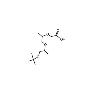 CC(COC(C)COC(C)(C)C)OCC(=O)O